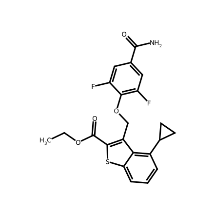 CCOC(=O)c1sc2cccc(C3CC3)c2c1COc1c(F)cc(C(N)=O)cc1F